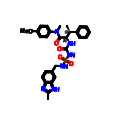 COc1ccc(N(C)C(=O)[C@@H](NC(=O)NS(=O)(=O)NCc2ccc3nc(C)[nH]c3c2)[C@H](C)c2ccccc2)cc1